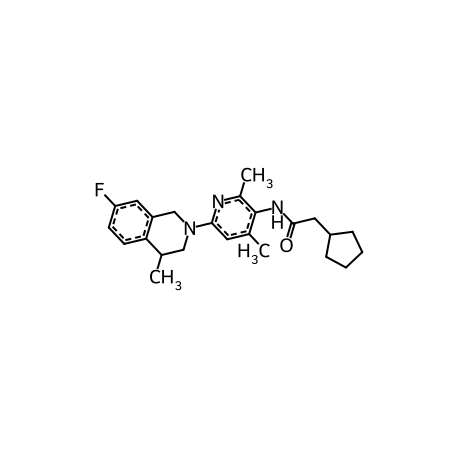 Cc1cc(N2Cc3cc(F)ccc3C(C)C2)nc(C)c1NC(=O)CC1CCCC1